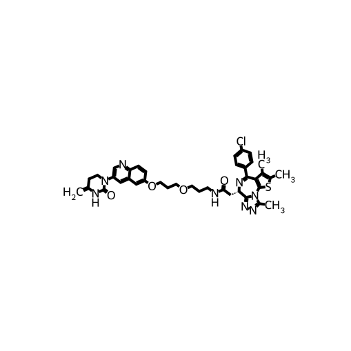 C=C1CCN(c2cnc3ccc(OCCCOCCCNC(=O)C[C@@H]4N=C(c5ccc(Cl)cc5)c5c(sc(C)c5C)-n5c(C)nnc54)cc3c2)C(=O)N1